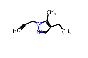 C#CCn1n[c]c(CC)c1C